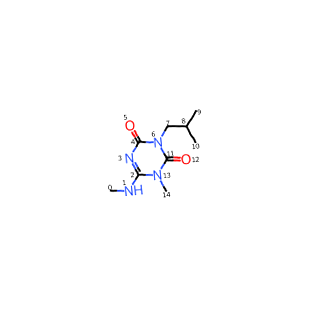 CNc1nc(=O)n(CC(C)C)c(=O)n1C